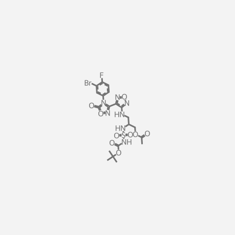 CC(=O)OCC(CNc1nonc1-c1noc(=O)n1-c1ccc(F)c(Br)c1)NS(=O)(=O)NC(=O)OC(C)(C)C